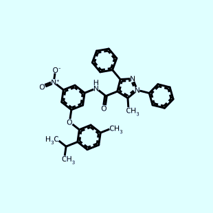 Cc1ccc(C(C)C)c(Oc2cc(NC(=O)c3c(-c4ccccc4)nn(-c4ccccc4)c3C)cc([N+](=O)[O-])c2)c1